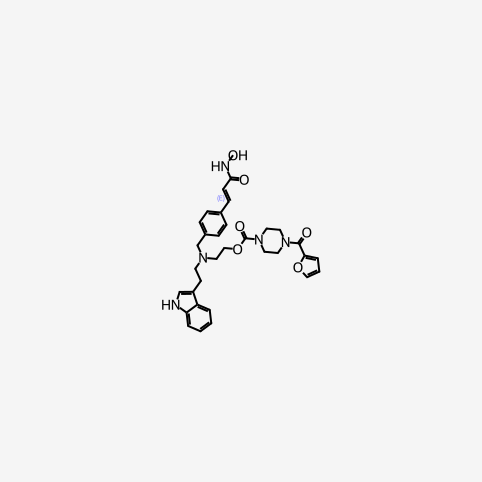 O=C(/C=C/c1ccc(CN(CCOC(=O)N2CCN(C(=O)c3ccco3)CC2)CCc2c[nH]c3ccccc23)cc1)NO